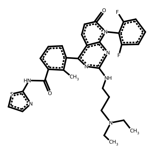 CCN(CC)CCCNc1nc(-c2cccc(C(=O)Nc3nccs3)c2C)c2ccc(=O)n(-c3c(F)cccc3F)c2n1